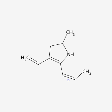 C=CC1=C(/C=C\C)NC(C)C1